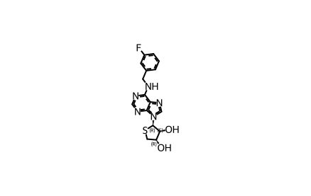 O[C@@H]1[C@H](n2cnc3c(NCc4cccc(F)c4)ncnc32)SC[C@@H]1O